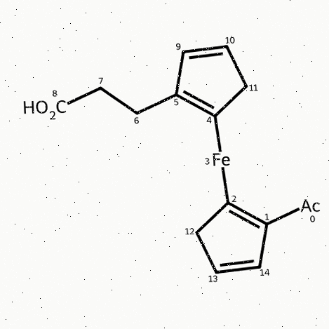 CC(=O)C1=[C]([Fe][C]2=C(CCC(=O)O)C=CC2)CC=C1